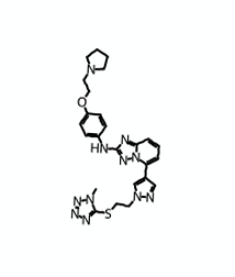 Cn1nnnc1SCCn1cc(-c2cccc3nc(Nc4ccc(OCCN5CCCC5)cc4)nn23)cn1